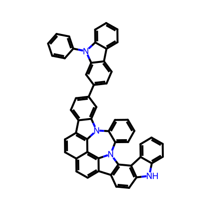 c1ccc(-n2c3ccccc3c3ccc(-c4ccc5c6ccc7ccc8c9ccc%10[nH]c%11ccccc%11c%10c9n9c%10ccccc%10n(c5c4)c6c7c89)cc32)cc1